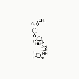 CCOC(=O)C1CCC(Oc2ccc3nc(-c4nnc(Nc5cc(F)c(F)cc5F)o4)[nH]c3c2F)CC1